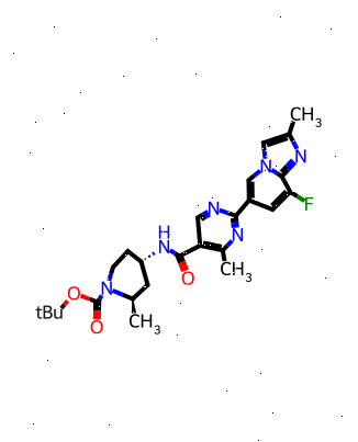 Cc1cn2cc(-c3ncc(C(=O)N[C@H]4CCN(C(=O)OC(C)(C)C)[C@H](C)C4)c(C)n3)cc(F)c2n1